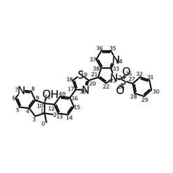 CC1(C)Cc2ccncc2[C@]1(O)c1cccc(-c2csc(-c3cn(S(=O)(=O)c4ccccc4)c4ncccc34)n2)c1